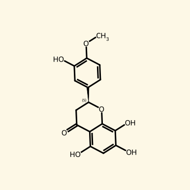 COc1ccc([C@@H]2CC(=O)c3c(O)cc(O)c(O)c3O2)cc1O